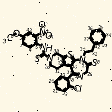 COc1ccc(NC(=S)N2CCc3c(sc4c3C(c3ccccc3Cl)=NCC(=S)N4CCc3ccccc3)C2)c([N+](=O)[O-])c1